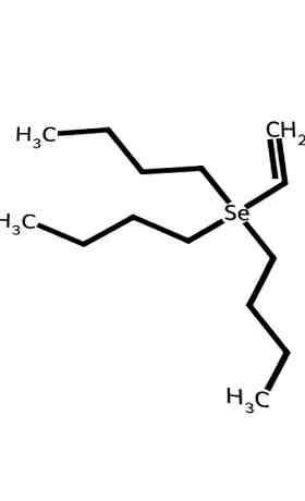 C=C[Se](CCCC)(CCCC)CCCC